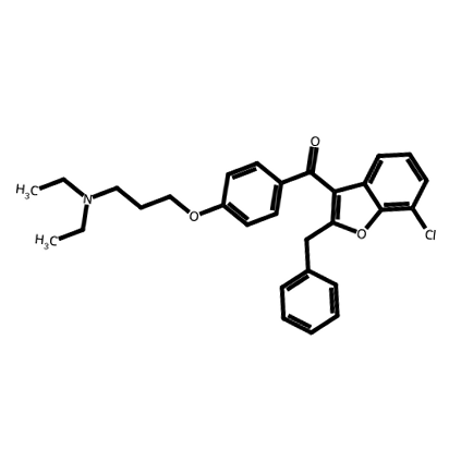 CCN(CC)CCCOc1ccc(C(=O)c2c(Cc3ccccc3)oc3c(Cl)cccc23)cc1